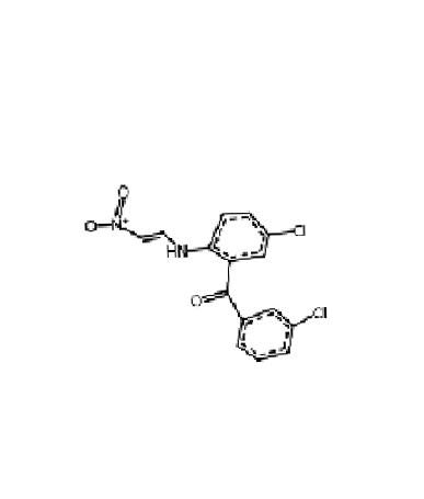 O=C(c1cccc(Cl)c1)c1cc(Cl)ccc1NC=C[N+](=O)[O-]